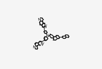 c1ccc2cc(-c3ccc4c(ccc5cc(N(c6ccc(-c7cc8ccc9ncccc9c8cn7)cc6)c6ccc(-c7cc8ccc9ncccc9c8cn7)cc6)ccc54)c3)ccc2c1